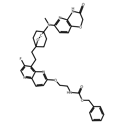 CN(c1ccc2c(n1)NC(=O)CO2)C12CCC(CCc3c(F)cnc4ccc(OCCNC(=O)OCc5ccccc5)nc34)(CC1)OC2